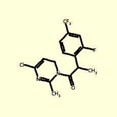 CC1=NC(Cl)=CCN1C(=O)C(C)c1ccc(C(F)(F)F)cc1F